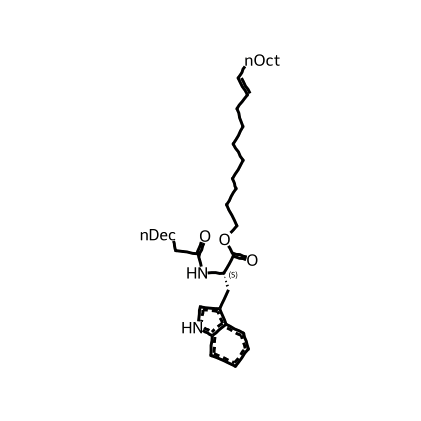 CCCCCCCCC=CCCCCCCCCOC(=O)[C@H](Cc1c[nH]c2ccccc12)NC(=O)CCCCCCCCCCC